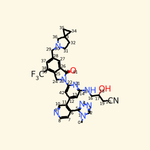 Cn1cnnc1-c1ccncc1-c1cc(NC[C@@H](O)CC#N)nc(N2Cc3c(cc(CN4CCC5(CC5)C4)cc3C(F)(F)F)C2=O)c1